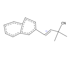 CC(C)(C#N)/C=C/c1ccc2ccccc2c1